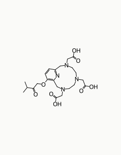 CC(C)C(=O)COc1ccc2nc1CN(CC(=O)O)CCN(CC(=O)O)CCN(CC(=O)O)C2